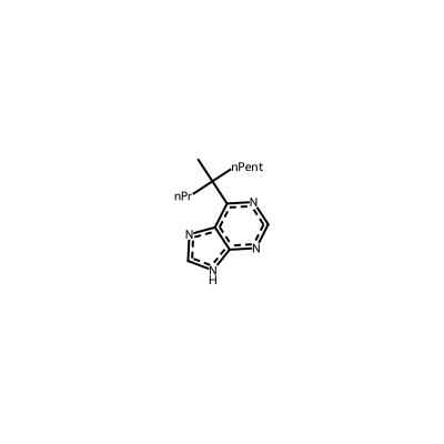 CCCCCC(C)(CCC)c1ncnc2[nH]cnc12